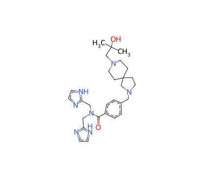 CC(C)(O)CN1CCC2(CC1)CCN(Cc1ccc(C(=O)N(Cc3ncc[nH]3)Cc3ncc[nH]3)cc1)C2